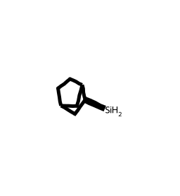 [SiH2]=C1CC2CCC1C2